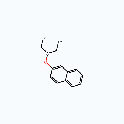 CC(C)[CH2][Al]([CH2]C(C)C)[O]c1ccc2ccccc2c1